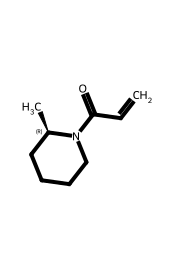 C=CC(=O)N1CCCC[C@H]1C